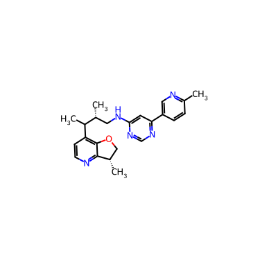 Cc1ccc(-c2cc(NC[C@@H](C)C(C)c3ccnc4c3OC[C@@H]4C)ncn2)cn1